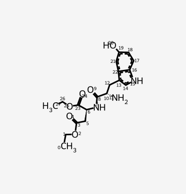 CCOC(=O)C[C@H](NC(=O)[C@@H](N)Cc1c[nH]c2ccc(O)cc12)C(=O)OCC